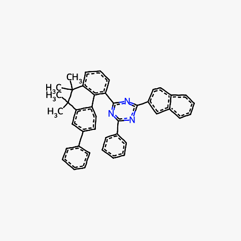 CC1(C)c2cc(-c3ccccc3)ccc2-c2c(-c3nc(-c4ccccc4)nc(-c4ccc5ccccc5c4)n3)cccc2C1(C)C